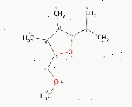 COCC1OC(C(C)C)C(C)C1C